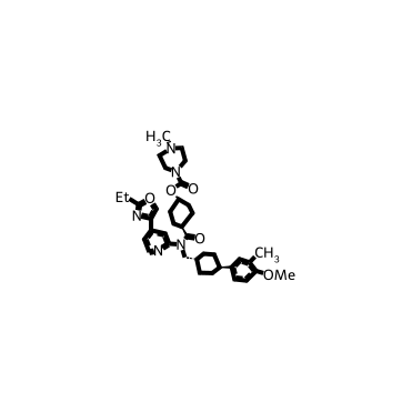 CCc1nc(-c2ccnc(N(C[C@H]3CC[C@H](c4ccc(OC)c(C)c4)CC3)C(=O)[C@H]3CC[C@H](OC(=O)N4CCN(C)CC4)CC3)c2)co1